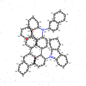 c1ccc(-c2cc(-c3ccccc3-n3c4ccccc4c4ccccc43)ccc2N(c2ccc3ccccc3c2)c2ccccc2-c2ccc(-c3ccc4ccccc4c3)cc2)cc1